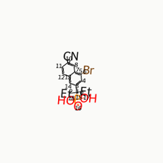 CCC(CC)(c1cc(Br)c2cc(C#N)ccc2c1)P(=O)(O)O